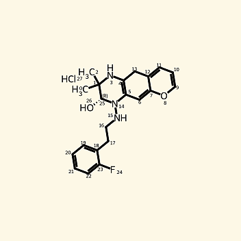 CC1(C)NC2=C(C=C3OC=CC=C3C2)N(NCCc2ccccc2F)[C@@H]1O.Cl